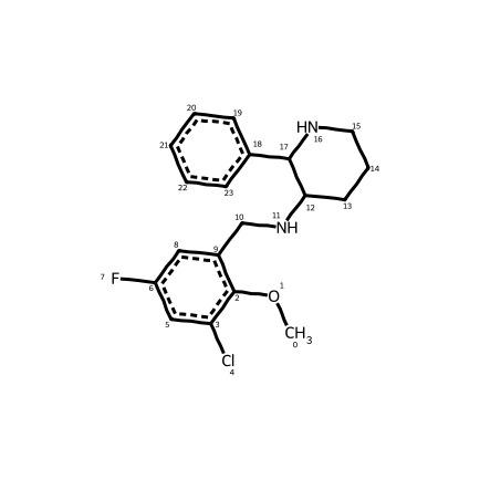 COc1c(Cl)cc(F)cc1CNC1CCCNC1c1ccccc1